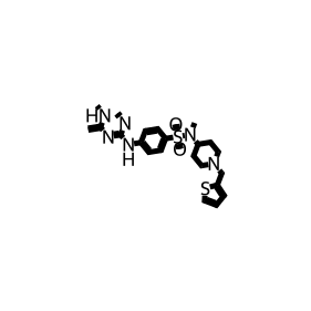 C=N/C(=N\C(=C)NC)Nc1ccc(S(=O)(=O)N(C)C2CCN(Cc3cccs3)CC2)cc1